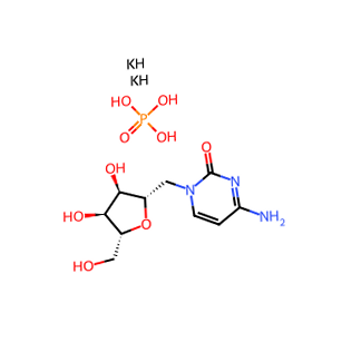 Nc1ccn(C[C@@H]2O[C@H](CO)[C@@H](O)[C@H]2O)c(=O)n1.O=P(O)(O)O.[KH].[KH]